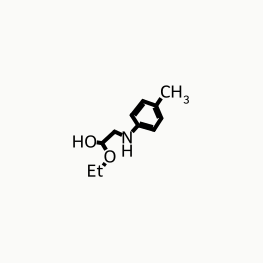 CCOC(O)CNc1ccc(C)cc1